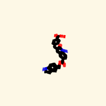 O=C(O)c1ccc(Cc2cc3cc(C(=O)OCc4ccc5c(c4)CCN5)ccc3[nH]c2=O)cc1